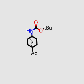 CC(=O)C12CCC(NC(=O)OC(C)(C)C)(CC1)CC2